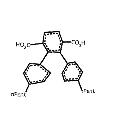 CCCCCc1ccc(-c2c(C(=O)O)ccc(C(=O)O)c2-c2ccc(CCCCC)cc2)cc1